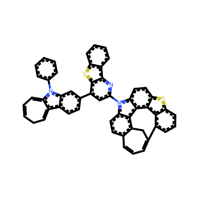 C1=CCC=c2c(n(-c3ccccc3)c3cc(-c4cc(-n5c6ccc7c8c6c6c9c(ccc65)sc5cccc(c59)C(=CC=C7)C8)nc5c4sc4ccccc45)ccc23)=C1